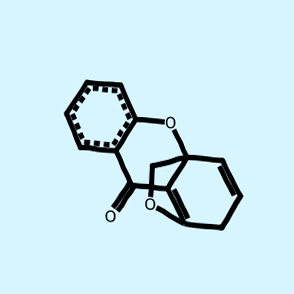 O=C1C2=C3CC=CC2(CO3)Oc2ccccc21